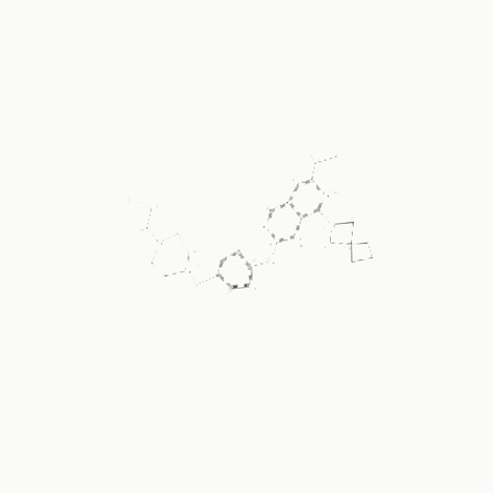 CC(O)c1cc2cnc(Nc3ccc(CN4CCN(CCO)CC4)cn3)nc2c(N2CC3(CCC3)C2)n1